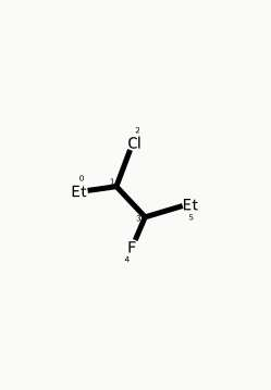 [CH2]CC(Cl)C(F)CC